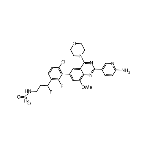 COc1cc(-c2c(Cl)ccc(C(F)CCN[SH](=O)=O)c2F)cc2c(N3CCOCC3)nc(-c3ccc(N)nc3)nc12